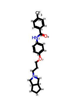 O=C(Nc1ccc(OCCCN2CC3CCCC3C2)cc1)c1ccc(C(F)(F)F)cc1